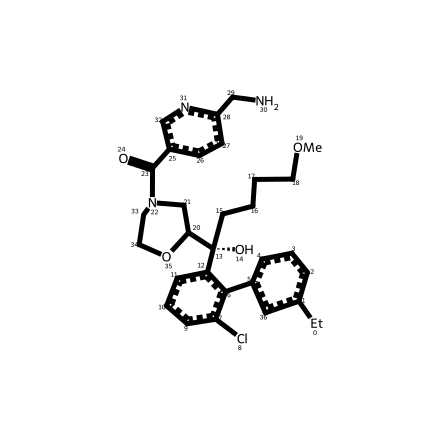 CCc1cccc(-c2c(Cl)cccc2[C@](O)(CCCCOC)C2CN(C(=O)c3ccc(CN)nc3)CCO2)c1